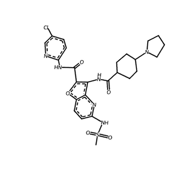 CS(=O)(=O)Nc1ccc2oc(C(=O)Nc3ccc(Cl)cn3)c(NC(=O)C3CCC(N4CCCC4)CC3)c2n1